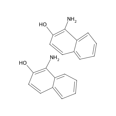 Nc1c(O)ccc2ccccc12.Nc1c(O)ccc2ccccc12